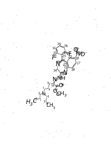 CCCN(CCC)CCCC(=NNC1=Nc2ccc([N+](=O)[O-])cc2C(c2c(F)cccc2F)=NC1)C(=O)OC